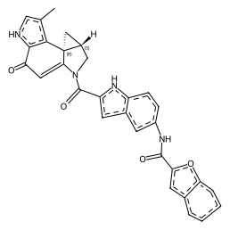 Cc1c[nH]c2c1[C@@]13C[C@@H]1CN(C(=O)c1cc4cc(NC(=O)c5cc6ccccc6o5)ccc4[nH]1)C3=CC2=O